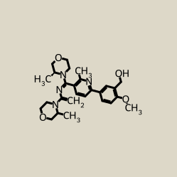 C=C(/N=C(\c1ccc(-c2ccc(OC)c(CO)c2)nc1C)N1CCOC[C@@H]1C)N1CCOCC1C